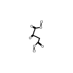 O=C(CC(=O)C(=O)OCl)OCl